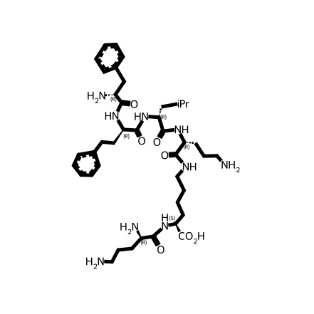 CC(C)C[C@@H](NC(=O)[C@@H](CCc1ccccc1)NC(=O)[C@H](N)Cc1ccccc1)C(=O)N[C@H](CCCN)C(=O)NCCCC[C@H](NC(=O)[C@H](N)CCCN)C(=O)O